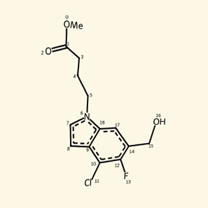 COC(=O)CCCn1ccc2c(Cl)c(F)c(CO)cc21